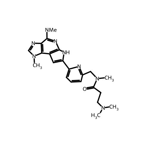 CNc1nc2[nH]c(-c3cccc(CN(C)C(=O)CCN(C)C)n3)cc2c2c1ncn2C